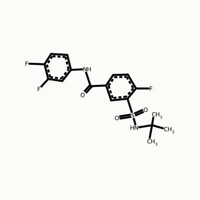 CC(C)(C)NS(=O)(=O)c1cc(C(=O)Nc2ccc(F)c(F)c2)ccc1F